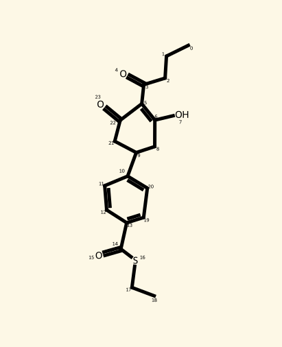 CCCC(=O)C1=C(O)CC(c2ccc(C(=O)SCC)cc2)CC1=O